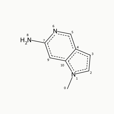 Cn1ccc2cnc(N)cc21